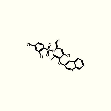 C\C=C(/C=C(Cl)\C(Oc1cnc2ccccc2c1)=C(/C)Cl)NS(=O)(=O)c1ccc(Cl)cc1Cl